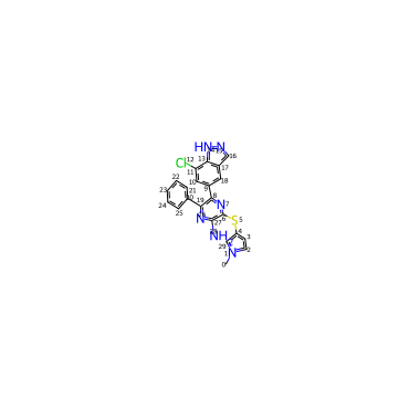 Cn1ccc(Sc2nc(-c3cc(Cl)c4[nH]ncc4c3)c(-c3ccccc3)nc2N)c1